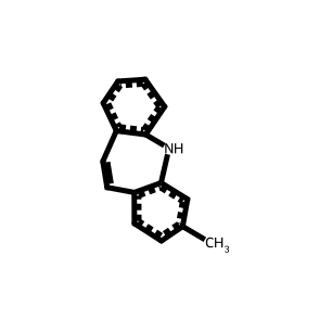 Cc1ccc2c(c1)Nc1ccccc1C=C2